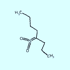 CCCCC(CCC)=S(=O)=O